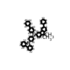 CC1(C)c2ccc(-c3ccccc3)cc2-c2cc(N(C3=CCC(n4c5ccccc5c5ccccc54)C=C3)c3ccc(-c4ccccc4)cc3)ccc21